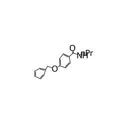 CCCNC(=O)c1ccc(OCc2ccccc2)cc1